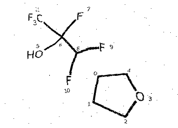 C1CCOC1.OC(F)(C(F)F)C(F)(F)F